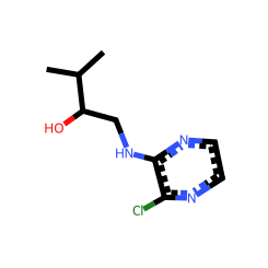 CC(C)C(O)CNc1nccnc1Cl